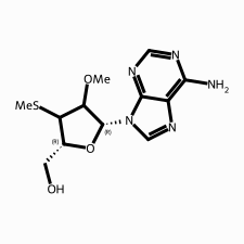 COC1C(SC)[C@@H](CO)O[C@H]1n1cnc2c(N)ncnc21